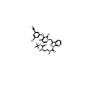 Cc1ccn(Cc2nn(C(=O)N(C)CCN(C)C(=O)OC(C)(C)C)c3ncccc23)c(=O)c1Oc1cc(Cl)cc(C#N)c1